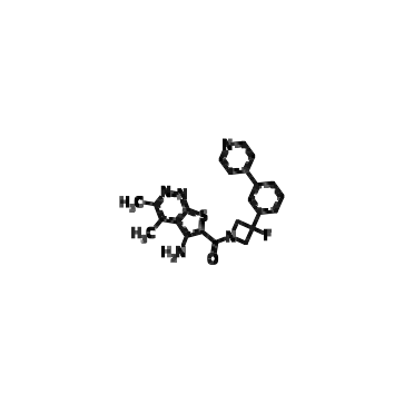 Cc1nnc2sc(C(=O)N3CC(F)(c4cccc(-c5ccncc5)c4)C3)c(N)c2c1C